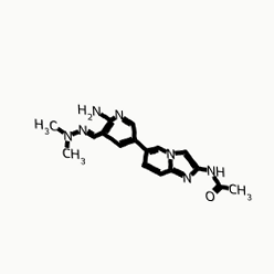 CC(=O)Nc1cn2cc(-c3cnc(N)c(/C=N/N(C)C)c3)ccc2n1